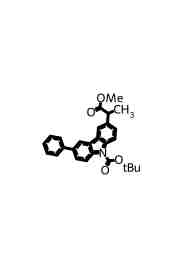 COC(=O)C(C)c1ccc2c(c1)c1cc(-c3ccccc3)ccc1n2C(=O)OC(C)(C)C